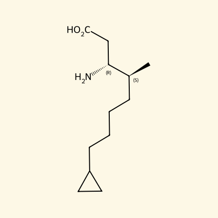 C[C@@H](CCCCC1CC1)[C@H](N)CC(=O)O